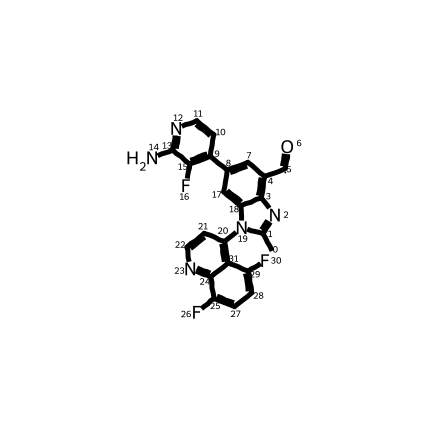 Cc1nc2c([C]=O)cc(-c3ccnc(N)c3F)cc2n1-c1ccnc2c(F)ccc(F)c12